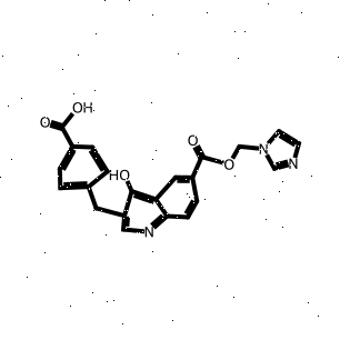 O=C(O)c1ccc(Cc2cnc3ccc(C(=O)OCn4ccnc4)cc3c2O)cc1